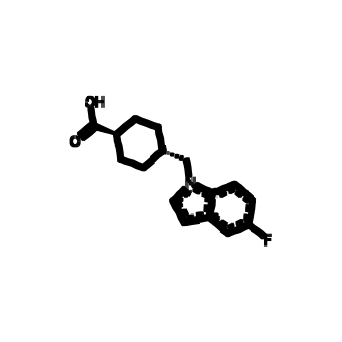 O=C(O)[C@H]1CC[C@H](Cn2ccc3cc(F)ccc32)CC1